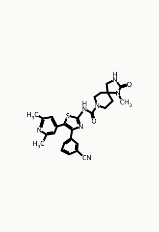 Cc1cc(-c2sc(NC(=O)N3CCC4(CC3)CNC(=O)N4C)nc2-c2cccc(C#N)c2)cc(C)n1